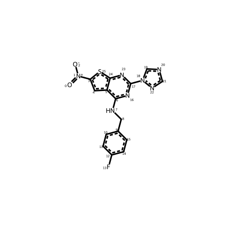 O=[N+]([O-])c1cc2c(NCc3ccc(F)cc3)nc(-n3cncn3)nc2s1